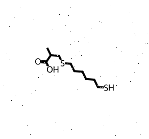 CC(CSCCCCCCS)C(=O)O